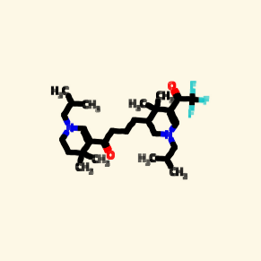 CC(C)CN1C=C(C(=O)CCCC2CN(CC(C)C)C=C(C(=O)C(F)(F)F)C2(C)C)C(C)(C)CC1